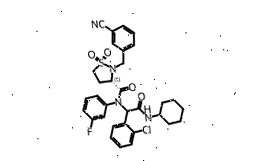 N#Cc1cccc(CN2[C@H](C(=O)N(c3cccc(F)c3)C(C(=O)NC3CCCCC3)c3ccccc3Cl)CCS2(=O)=O)c1